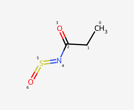 CCC(=O)N=S=O